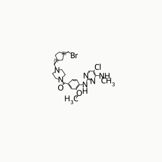 CNc1nc(Nc2ccc(C(=O)N3CCN(C[C@H]4CC[C@@H](CBr)C4)CC3)cc2OC)ncc1Cl